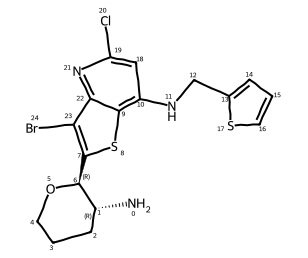 N[C@@H]1CCCO[C@H]1c1sc2c(NCc3cccs3)cc(Cl)nc2c1Br